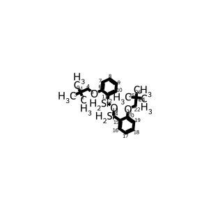 CC(C)(C)COc1ccccc1[SiH2]O[SiH2]c1ccccc1OCC(C)(C)C